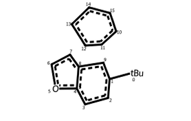 CC(C)(C)c1ccc2occc2c1.c1ccccc1